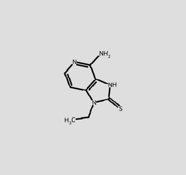 CCn1c(=S)[nH]c2c(N)nccc21